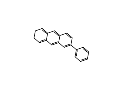 C1=c2cc3ccc(-c4ccccc4)cc3cc2=CCC1